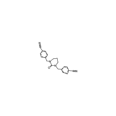 N#Cc1ccc(CN2CCCN(Cc3ccc(C#N)cc3)C2=O)cc1